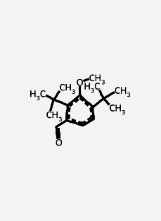 COc1c(C(C)(C)C)ccc(C=O)c1C(C)(C)C